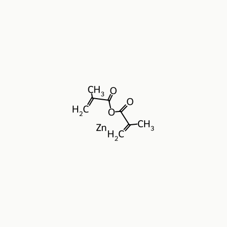 C=C(C)C(=O)OC(=O)C(=C)C.[Zn]